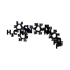 Cc1cccc(Cl)c1N1CCCS/C1=N\N=C\c1ccc(-c2ncn(-c3ccc(OC(F)(F)F)cc3)n2)cc1